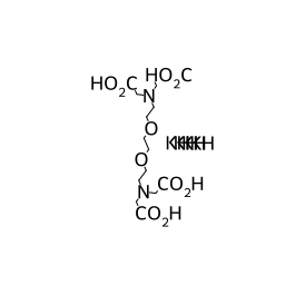 O=C(O)CN(CCOCCOCCN(CC(=O)O)CC(=O)O)CC(=O)O.[KH].[KH].[KH].[KH]